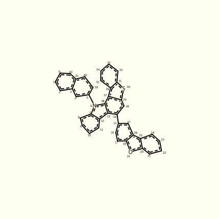 c1ccc2cc(-n3c4ccccc4c4c(-c5ccc6oc7ccccc7c6c5)cc5sc6ccccc6c5c43)ccc2c1